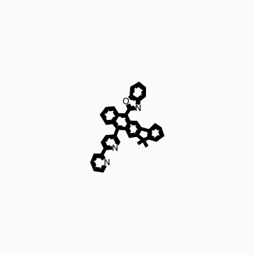 CC1(C)c2ccccc2-c2cc3c(-c4nc5ccccc5o4)c4ccccc4c(-c4ccc(-c5ccccn5)nc4)c3cc21